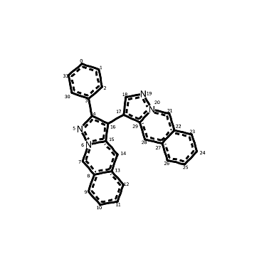 c1ccc(-c2nn3cc4ccccc4cc3c2-c2cnn3cc4ccccc4cc23)cc1